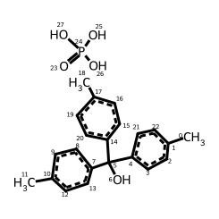 Cc1ccc(C(O)(c2ccc(C)cc2)c2ccc(C)cc2)cc1.O=P(O)(O)O